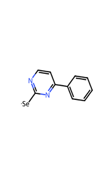 [Se]c1nccc(-c2ccccc2)n1